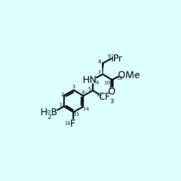 Bc1ccc(C(N[C@@H](CC(C)C)C(=O)OC)C(F)(F)F)cc1F